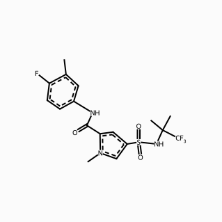 Cc1cc(NC(=O)c2cc(S(=O)(=O)NC(C)(C)C(F)(F)F)cn2C)ccc1F